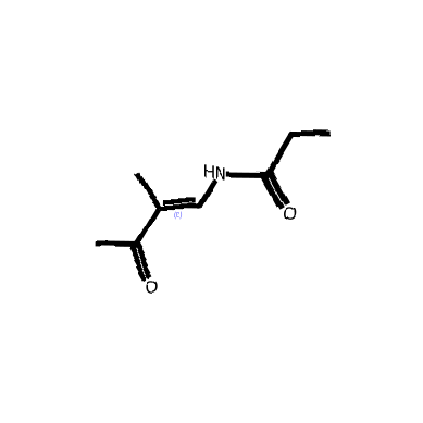 CCC(=O)N/C=C(\C)C(C)=O